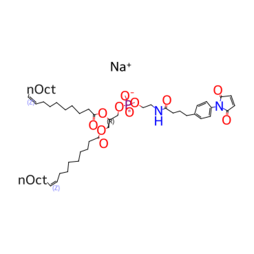 CCCCCCCC/C=C\CCCCCCCC(=O)OC[C@H](COP(=O)([O-])OCCNC(=O)CCCc1ccc(N2C(=O)C=CC2=O)cc1)OC(=O)CCCCCCC/C=C\CCCCCCCC.[Na+]